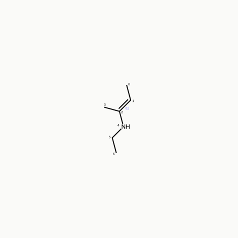 C/C=C(\C)NCC